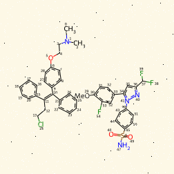 CN(C)CCOc1ccc(/C(=C(/CCCl)c2ccccc2)c2ccccc2)cc1.COc1ccc(-c2cc(C(F)F)nn2-c2ccc(S(N)(=O)=O)cc2)cc1F